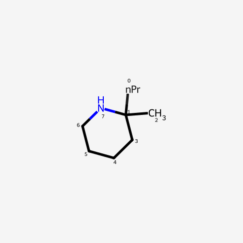 [CH2]CCC1(C)CCCCN1